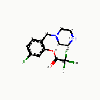 O=C(Oc1cc(F)ccc1CN1CCNCC1)C(F)(F)F